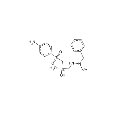 CCCN(Cc1ccccc1)NC[C@@](C)(O)CS(=O)(=O)c1ccc(N)cc1